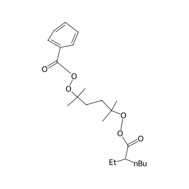 CCCCC(CC)C(=O)OOC(C)(C)CCC(C)(C)OOC(=O)c1ccccc1